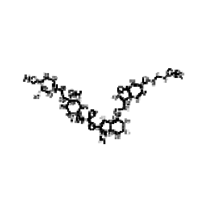 CCOCCCOc1ccc2c(COc3cccc4[nH]c(OC(=O)NC5CCC(O)(CCN6CC[C@H](O)[C@@H](C)C6)CC5)cc34)coc2c1